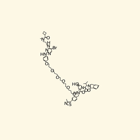 Cc1ncsc1-c1ccc(CNC(=O)[C@@H]2C[C@@H](O)CN2C(=O)C(C(C)C)N2Cc3ccccc3C2=O)c(OCCCOCCCOCCOCCCOCCCOc2ccc(Nc3ncc(Br)c(NCCCN(C)C(=O)C4CCC4)n3)cc2)c1